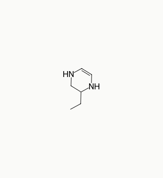 CCC1CNC=CN1